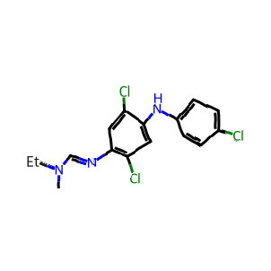 CCN(C)C=Nc1cc(Cl)c(Nc2ccc(Cl)cc2)cc1Cl